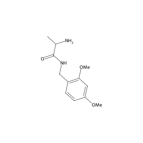 COc1ccc(CNC(=O)C(C)N)c(OC)c1